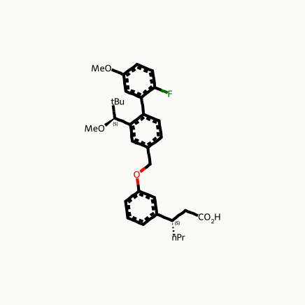 CCC[C@@H](CC(=O)O)c1cccc(OCc2ccc(-c3cc(OC)ccc3F)c([C@@H](OC)C(C)(C)C)c2)c1